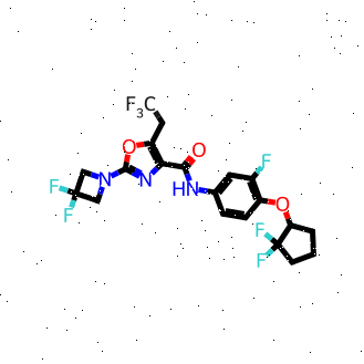 O=C(Nc1ccc(OC2CCCC2(F)F)c(F)c1)c1nc(N2CC(F)(F)C2)oc1CC(F)(F)F